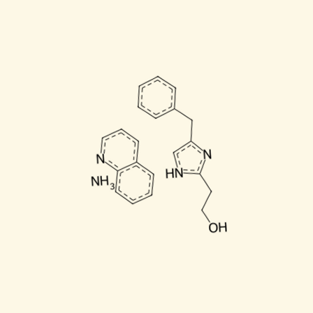 N.OCCc1nc(Cc2ccccc2)c[nH]1.c1ccc2ncccc2c1